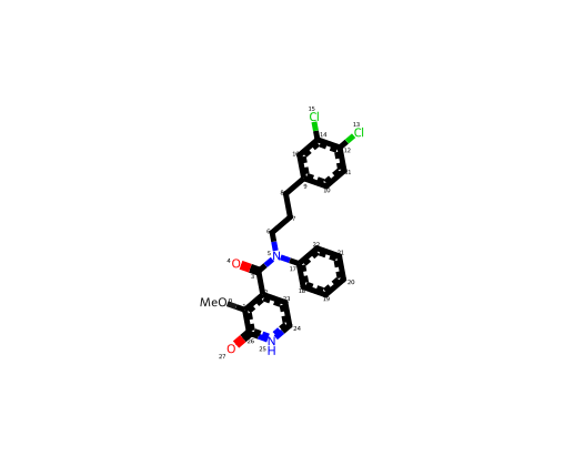 COc1c(C(=O)N(CCCc2ccc(Cl)c(Cl)c2)c2ccccc2)cc[nH]c1=O